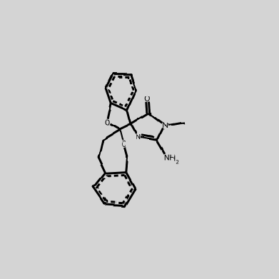 CN1C(=O)C2(N=C1N)c1ccccc1OC21CCc2ccccc2CC1